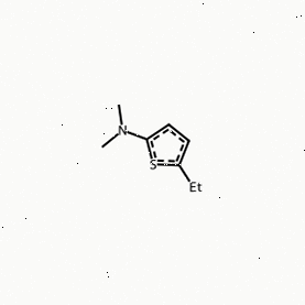 CCc1ccc(N(C)C)s1